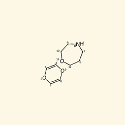 C1=COC=CO1.C1CNCCOC1